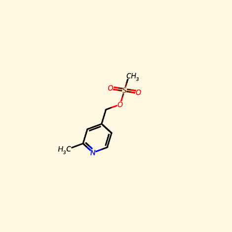 Cc1cc(COS(C)(=O)=O)ccn1